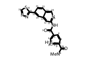 C\C=C(/C=C\C(=C/C)C(=O)Nc1cc2cc(-c3nncs3)ccc2cn1)C(=O)NC